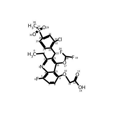 CCc1nc2c(F)ccc(OCC(=O)O)c2c(OC(F)F)c1Cc1ccc(S(C)(=O)=O)cc1Cl